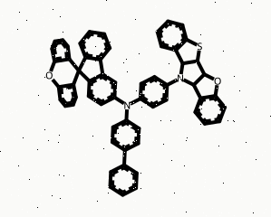 c1ccc(-c2ccc(N(c3ccc(N4C5c6ccccc6OC5C5Sc6ccccc6C54)cc3)c3ccc4c(c3)-c3ccccc3C43c4ccccc4Oc4ccccc43)cc2)cc1